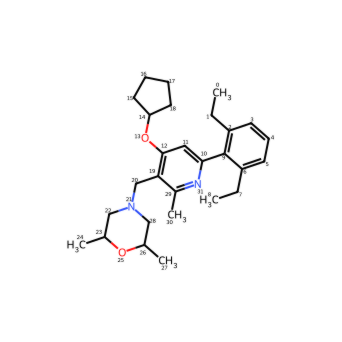 CCc1cccc(CC)c1-c1cc(OC2CCCC2)c(CN2CC(C)OC(C)C2)c(C)n1